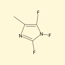 Cc1nc(F)n(F)c1F